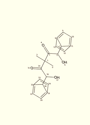 CC(C)(C(=O)C(O)C1C2=CC=C1C=C2)C(=O)C(O)C1C2=CC=C1C=C2